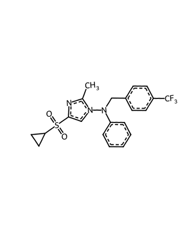 Cc1nc(S(=O)(=O)C2CC2)cn1N(Cc1ccc(C(F)(F)F)cc1)c1ccccc1